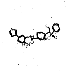 COP(=O)(c1ccccc1)C(CF)c1ccc(C(=O)Nc2cc(-c3ccsc3)ccc2N)cc1